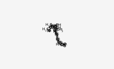 Cc1ncsc1-c1ccc([C@H](C)NC(=O)[C@@H]2C[C@@H](O)CN2C(=O)[C@H](c2cc(N3CCN(CCC4CCN(c5ccc6c(c5)Sc5cc([N+](=O)[O-])ccc5N6)CC4)CC3)no2)C(C)C)cc1